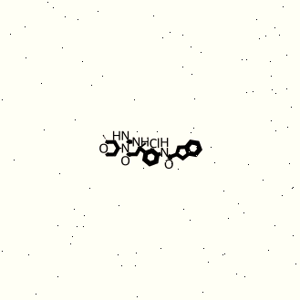 C[C@@H]1C[C@H](N2C(=N)N[C@](C)(c3cccc(NC(=O)C4Cc5ccccc5C4)c3Cl)CC2=O)CCO1